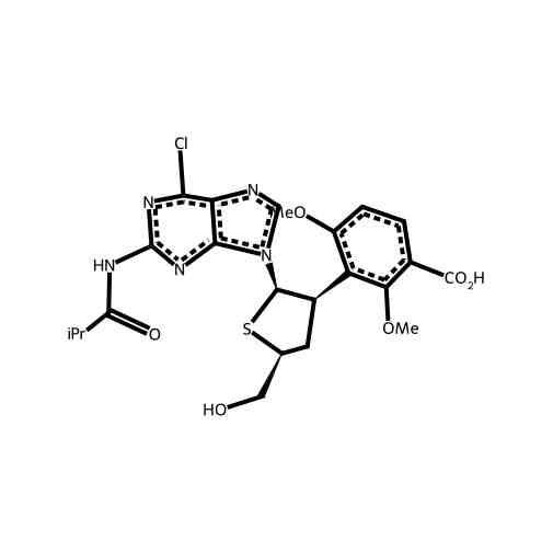 COc1ccc(C(=O)O)c(OC)c1[C@H]1C[C@@H](CO)S[C@H]1n1cnc2c(Cl)nc(NC(=O)C(C)C)nc21